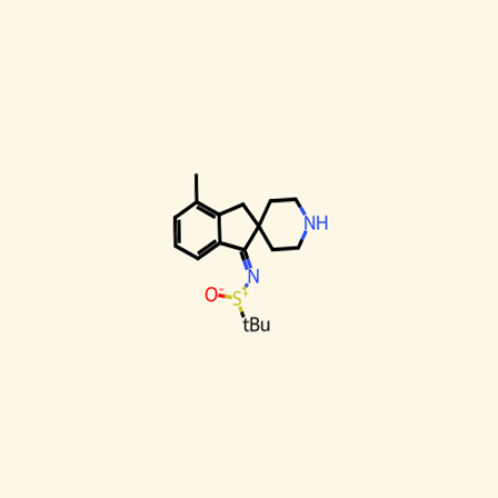 Cc1cccc2c1CC1(CCNCC1)C2=N[S+]([O-])C(C)(C)C